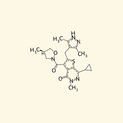 Cc1n[nH]c(C)c1Cc1sc2c(C3CC3)nn(C)c(=O)c2c1C(=O)N1C[C@@H](C)CO1